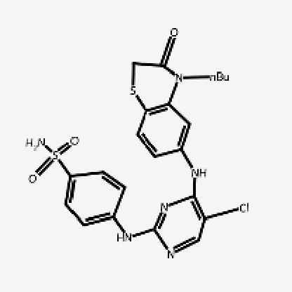 CCCCN1C(=O)CSc2ccc(Nc3nc(Nc4ccc(S(N)(=O)=O)cc4)ncc3Cl)cc21